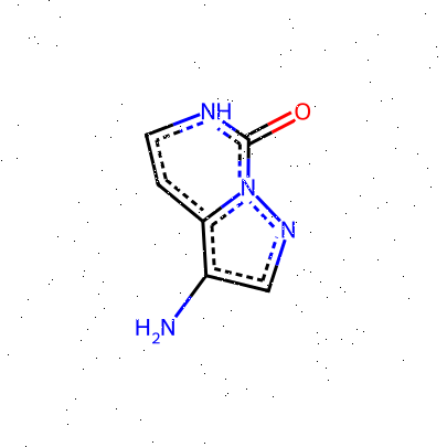 Nc1cnn2c(=O)[nH]ccc12